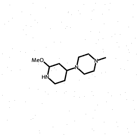 COC1C[C](N2CCN(C)CC2)CCN1